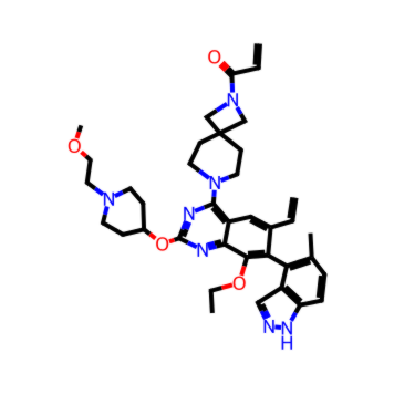 C=CC(=O)N1CC2(CCN(c3nc(OC4CCN(CCOC)CC4)nc4c(OCC)c(-c5c(C)ccc6[nH]ncc56)c(C=C)cc34)CC2)C1